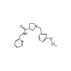 O=C(NCc1ccccn1)C1CCN(Cc2cccc(OC(F)(F)F)c2)C1